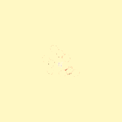 c1ccc(-c2ccccc2N(c2c(-c3cccc4ccccc34)c3ccccc3c3ccccc23)c2cccc3c2oc2ccccc23)cc1